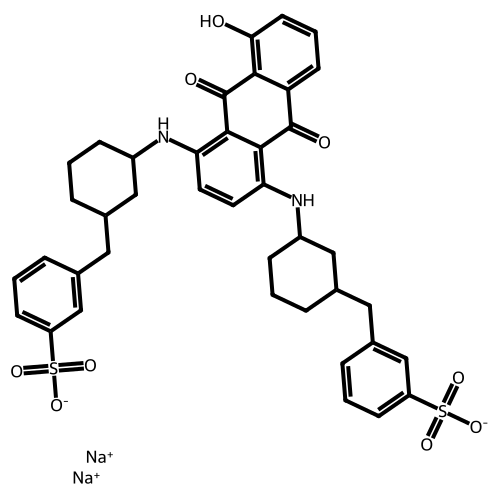 O=C1c2cccc(O)c2C(=O)c2c(NC3CCCC(Cc4cccc(S(=O)(=O)[O-])c4)C3)ccc(NC3CCCC(Cc4cccc(S(=O)(=O)[O-])c4)C3)c21.[Na+].[Na+]